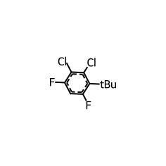 CC(C)(C)c1c(F)cc(F)c(Cl)c1Cl